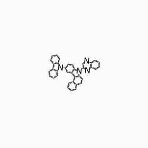 c1ccc2c(c1)ccc1c2c2cc(-n3c4ccccc4c4ccccc43)ccc2n1-c1cnc2ccccc2n1